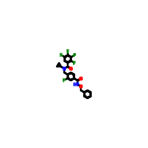 O=C(NOCc1ccccc1)c1ccc(CN(C(=O)c2cc(F)c(F)c(F)c2F)C2CC2)c(F)c1